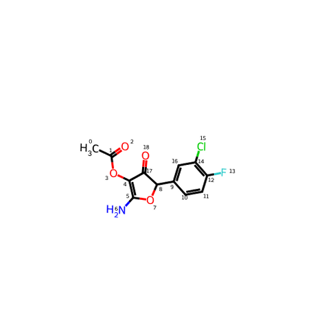 CC(=O)OC1=C(N)OC(c2ccc(F)c(Cl)c2)C1=O